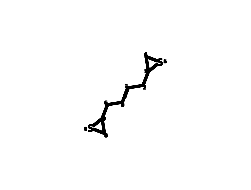 C(CCC1CS1)CC1CS1